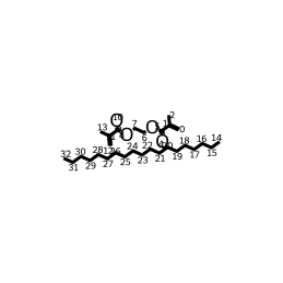 C=C(C)C(=O)OCCOC(=O)C(=C)C.CCCCCCCCCCCCCCCCCCC